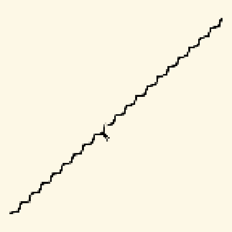 CCCCCCCCCCCCCCCCCCCCCCOC(=O)CCCCCCCCCCCCCCCCC